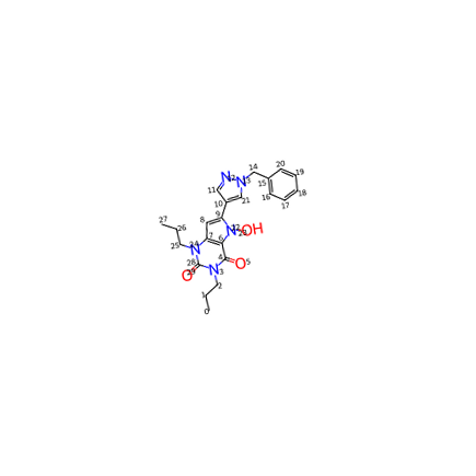 CCCn1c(=O)c2c(cc(-c3cnn(Cc4ccccc4)c3)n2O)n(CCC)c1=O